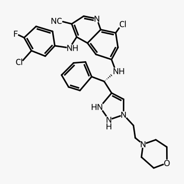 N#Cc1cnc2c(Cl)cc(N[C@H](C3=CN(CCN4CCOCC4)NN3)c3ccccc3)cc2c1Nc1ccc(F)c(Cl)c1